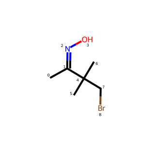 CC(=NO)C(C)(C)CBr